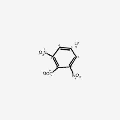 O=C([O-])c1c([N+](=O)[O-])cccc1[N+](=O)[O-].[Li+]